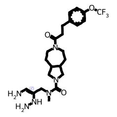 CN(C/C(=C/N)NN)C(=O)N1CC2CCN(C(=O)CCc3ccc(OC(F)(F)F)cc3)CCC2C1